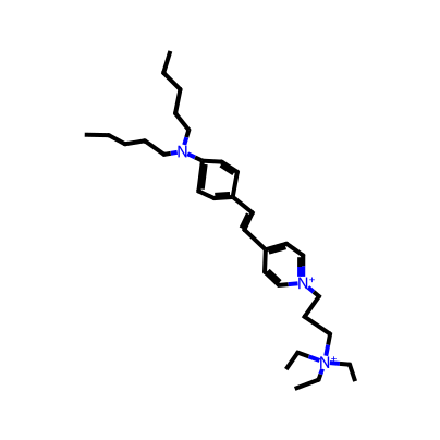 CCCCCN(CCCCC)c1ccc(C=Cc2cc[n+](CCC[N+](CC)(CC)CC)cc2)cc1